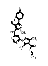 CCOC(=O)c1c(C)nn(-c2cc(Nc3c(CC)c(-c4ccc(F)cc4)nn3C)ncn2)c1C